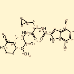 COC(=O)[C@H](C[C@@H]1CCCNC1=O)NC(=O)[C@H](CC1CC1)NC(=O)c1cc2c(F)ccc(Br)c2[nH]1